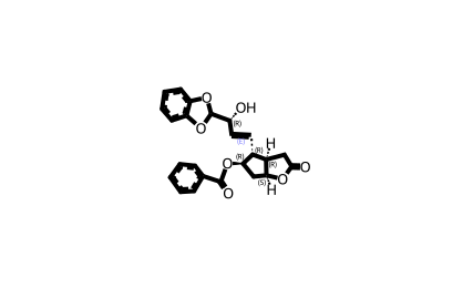 O=C1C[C@@H]2[C@@H](/C=C/[C@@H](O)C3Oc4ccccc4O3)[C@H](OC(=O)c3ccccc3)C[C@@H]2O1